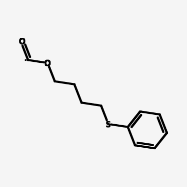 O=[C]OCCCCSc1ccccc1